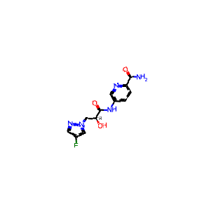 NC(=O)c1ccc(NC(=O)[C@@H](O)Cn2cc(F)cn2)cn1